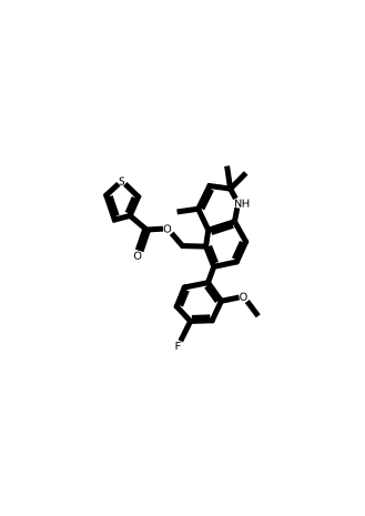 COc1cc(F)ccc1-c1ccc2c(c1COC(=O)c1ccsc1)C(C)=CC(C)(C)N2